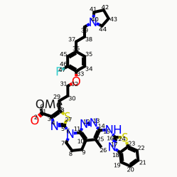 COC(=O)c1nc(N2CCCc3c2nnc(Nc2nc4ccccc4s2)c3C)sc1CCCOc1ccc(CCCN2CCCC2)cc1F